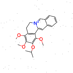 COc1c2c(c(OC)c(OC(C)C)c1OC)-c1cc3ccccc3c[n+]1CC2